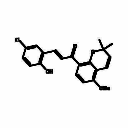 COc1ccc(C(=O)C=Cc2cc(Cl)ccc2O)c2c1C=CC(C)(C)O2